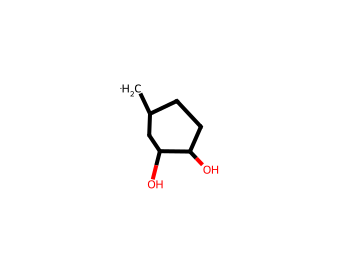 [CH2]C1CCC(O)C(O)C1